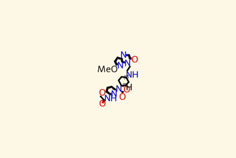 COc1ccc2ncc(=O)n(CCN[C@H]3CCC4[C@@H](C3)OC(=O)N4c3ccc4c(n3)NC(=O)CO4)c2n1